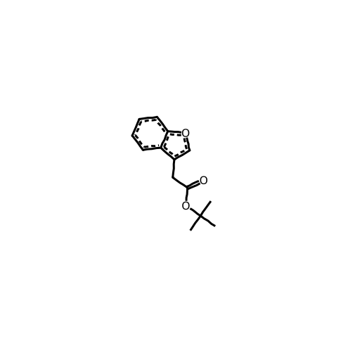 CC(C)(C)OC(=O)Cc1coc2ccccc12